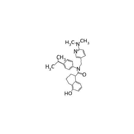 CC(C)c1ccc(N(Cc2ccc(N(C)C)nc2)C(=O)C2CCCc3c(O)cccc32)cc1